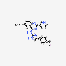 COc1ccc2nc(-c3cccnc3)nc(Nc3nc(-c4ccc(CI)cc4)c[nH]3)c2c1